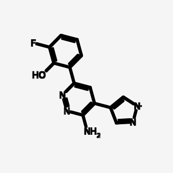 Nc1nnc(-c2cccc(F)c2O)cc1C1=C[N]N=C1